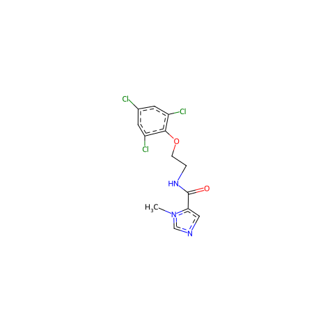 Cn1cncc1C(=O)NCCOc1c(Cl)cc(Cl)cc1Cl